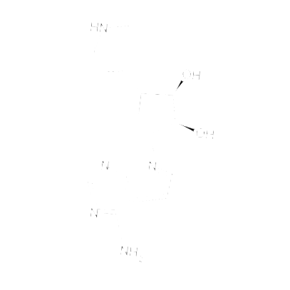 Nc1ncnc2c1ccn2[C@@H]1C[C@H](C2CCNCC2)[C@@H](O)[C@H]1O